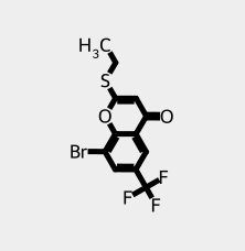 CCSc1cc(=O)c2cc(C(F)(F)F)cc(Br)c2o1